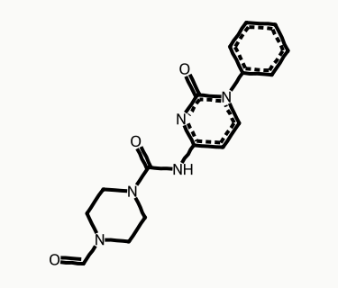 O=CN1CCN(C(=O)Nc2ccn(-c3ccccc3)c(=O)n2)CC1